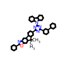 CC1(C)c2cc(-c3nc(-c4cccc(-c5ccccc5)c4)nc(-n4c5ccccc5c5ccccc54)n3)ccc2-c2cc3nc(-c4ccccc4)oc3cc21